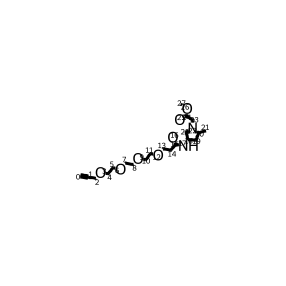 C#CCOCCOCCOCCOCCC(=O)NC1CC(C)N(CC(=O)OC)C1